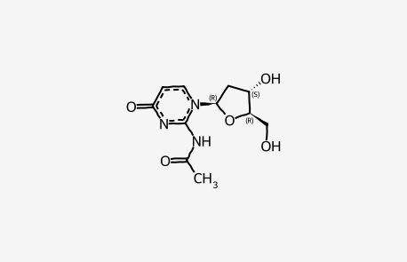 CC(=O)Nc1nc(=O)ccn1[C@H]1C[C@H](O)[C@@H](CO)O1